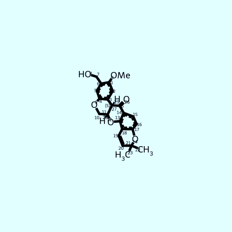 COc1cc2c(cc1CO)OC[C@H]1Oc3c(ccc4c3C=CC(C)(C)O4)C(=O)[C@@H]21